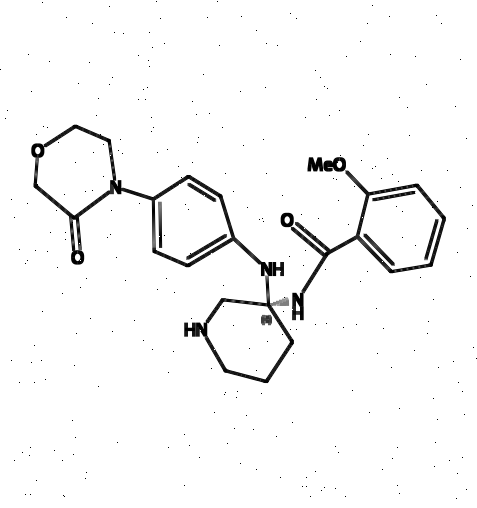 COc1ccccc1C(=O)N[C@]1(Nc2ccc(N3CCOCC3=O)cc2)CCCNC1